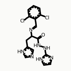 O=C(NNc1ncc[nH]1)C(Cc1cnc[nH]1)N=Cc1c(Cl)cccc1Cl